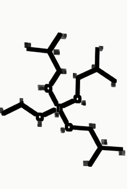 CC[O][Ti]([O]CC(C)C)([O]CC(C)C)[O]CC(C)C